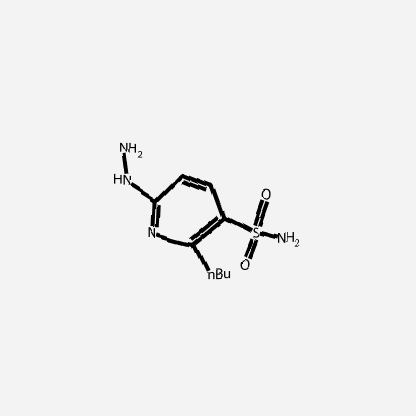 CCCCc1nc(NN)ccc1S(N)(=O)=O